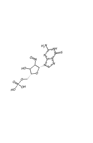 Nc1nc2c(ncn2[C@@H]2O[C@H](COP(=O)(O)O)C(O)C2N=O)c(=S)[nH]1